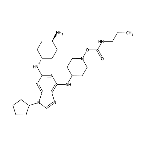 CCCNC(=O)ON1CCC(Nc2nc(N[C@H]3CC[C@H](N)CC3)nc3c2ncn3C2CCCC2)CC1